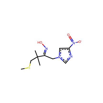 CSCC(C)(C)C(Cn1cnc([N+](=O)[O-])c1)=NO